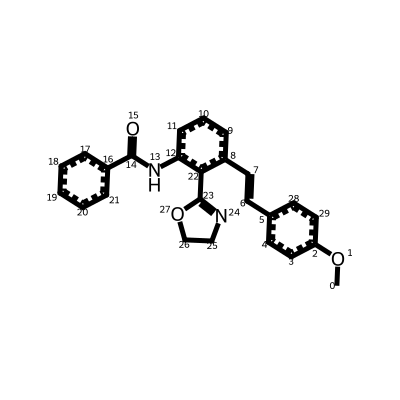 COc1ccc(/C=C/c2cccc(NC(=O)c3ccccc3)c2C2=NCCO2)cc1